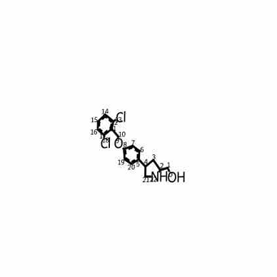 OCC1CC(c2ccc(OCc3c(Cl)cccc3Cl)cc2)CN1